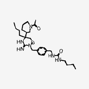 CCCCNC(=O)NCc1ccc(CN2OCC(CCCC)(C3CCCN(C(C)=O)C3)NC2=N)cc1